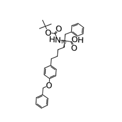 CC(C)(C)OC(=O)N[C@](CCCCc1ccc(OCc2ccccc2)cc1)(Cc1ccccc1)C(=O)O